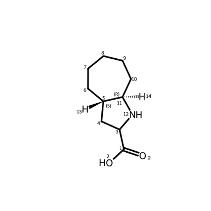 O=C(O)C1C[C@@H]2CCCCC[C@H]2N1